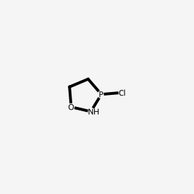 ClP1CCON1